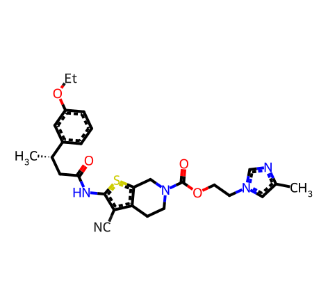 CCOc1cccc([C@@H](C)CC(=O)Nc2sc3c(c2C#N)CCN(C(=O)OCCn2cnc(C)c2)C3)c1